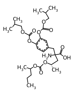 CCCC(C)OC(=O)O[C@@H](C)CC(N)(Cc1ccc(OC(=O)OCC(C)C)c(OC(=O)OCC(C)C)c1)C(=O)O